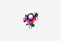 CCCOc1cc2c(Cl)cccc2c(O[C@@H]2C[C@H]3C(=O)N[C@]4(C(=O)NS(=O)(=O)C5CC5)C[C@H]4/C=C\CC[C@@H](C)C[C@@H](C)[C@H](N(C(=O)O)C4CC5C[C@H]5C4)C(=O)N3C2)n1